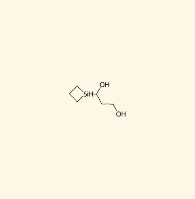 OCCC(O)[SiH]1CCC1